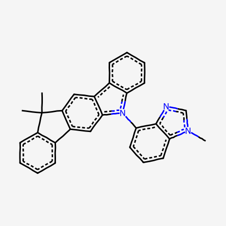 Cn1cnc2c(-n3c4ccccc4c4cc5c(cc43)-c3ccccc3C5(C)C)cccc21